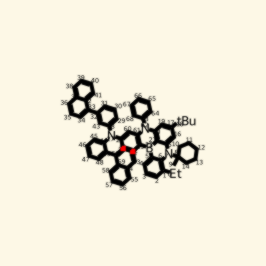 CCc1cccc2c1N(C1(C)CCCCC1)c1cc(C(C)(C)C)cc3c1B2c1ccc(N(c2cccc(-c4cccc5ccccc45)c2)c2ccccc2-c2cccc4ccccc24)cc1N3c1ccccc1